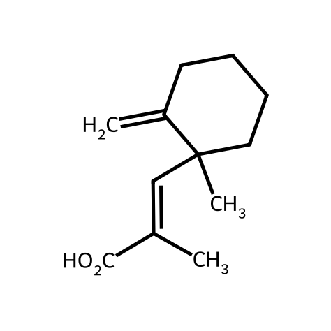 C=C1CCCCC1(C)C=C(C)C(=O)O